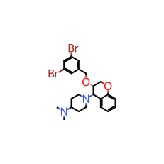 CN(C)C1CCN([C@@H]2c3ccccc3OC[C@H]2OCc2cc(Br)cc(Br)c2)CC1